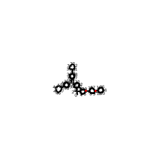 CC1(C)c2ccc(-c3ccc(-c4ccccc4)cc3)cc2-c2ccc(N(c3ccc(C4CCCCC4)cc3)c3ccc(C4CCCCC4)cc3)cc21